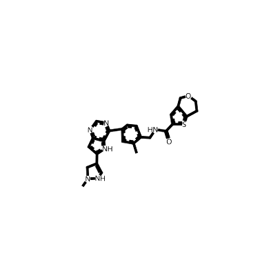 Cc1cc(-c2ncnc3cc(C4=CNN(C)C4)[nH]c23)ccc1CNC(=O)c1cc2c(s1)CCOC2